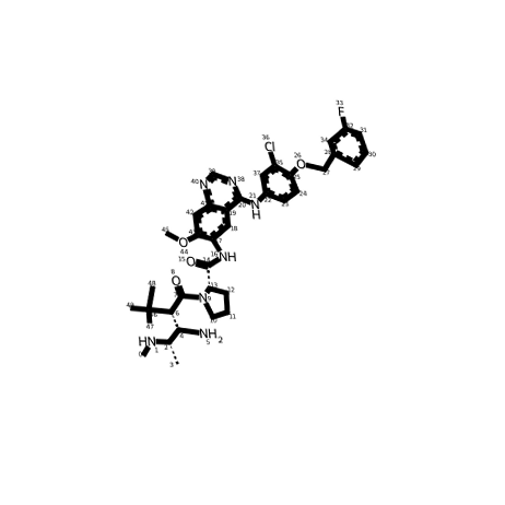 CN[C@@H](C)C(N)[C@@H](C(=O)N1CCC[C@H]1C(=O)Nc1cc2c(Nc3ccc(OCc4cccc(F)c4)c(Cl)c3)ncnc2cc1OC)C(C)(C)C